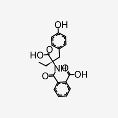 CC[C@@](Cc1ccc(O)cc1)(NC(=O)c1ccccc1C(=O)O)C(=O)O